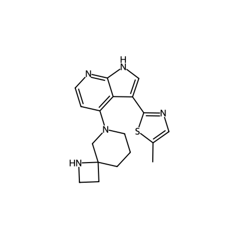 Cc1cnc(-c2c[nH]c3nccc(N4CCCC5(CCN5)C4)c23)s1